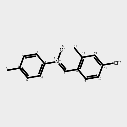 Cc1ccc([N+]([O-])=Cc2ccc(Cl)cc2C)cc1